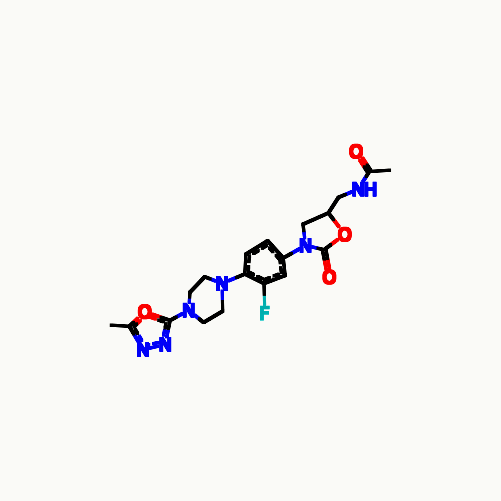 CC(=O)NCC1CN(c2ccc(N3CCN(c4nnc(C)o4)CC3)c(F)c2)C(=O)O1